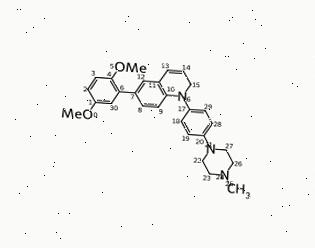 COc1ccc(OC)c(-c2ccc3c(c2)C=CCN3c2ccc(N3CCN(C)CC3)cc2)c1